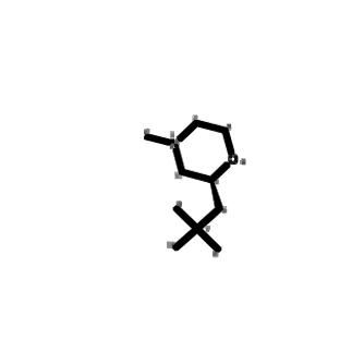 CN1CCO[C@@H](CC(C)(C)C)C1